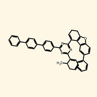 CC1CC=CC=C1c1nc(C2=CCCc3oc4ccc(-c5ccccc5)cc4c32)nc(-c2ccc(-c3ccc(-c4ccccc4)cc3)cc2)n1